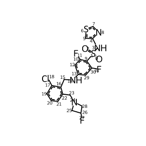 O=S(=O)(Nc1cscn1)c1c(F)cc(NCc2c(Cl)cccc2CN2CC(F)C2)cc1F